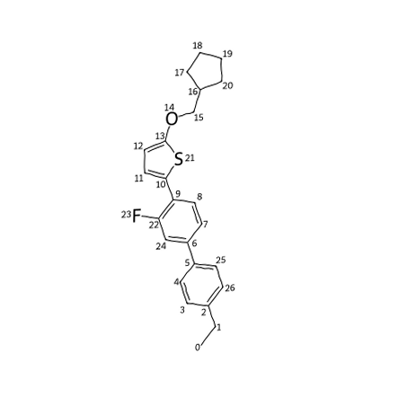 CCc1ccc(-c2ccc(-c3ccc(OCC4CCCC4)s3)c(F)c2)cc1